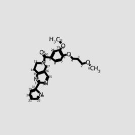 COCCCOc1ccc(C(=O)N2CCc3nc(-c4ccccn4)ncc3C2)cc1OC